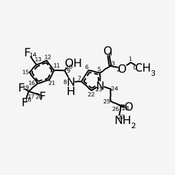 CCOC(=O)c1cc(NC(O)c2cc(F)cc(C(F)(F)F)c2)cn1CCC(N)=O